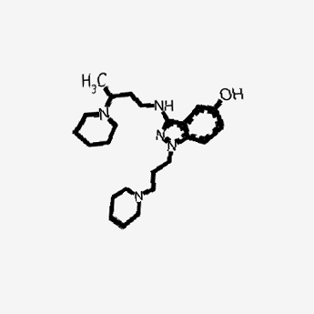 CC(CCNc1nn(CCCN2CCCCC2)c2ccc(O)cc12)N1CCCCC1